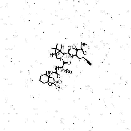 C#CCCC(NC(=O)[C@@H]1[C@@H]2[C@H](CN1C(=O)[C@@H](NC(=O)NC1(CS(=O)(=O)C(C)(C)C)CCCCC1)C(C)(C)C)C2(C)C)C(=O)C(N)=O